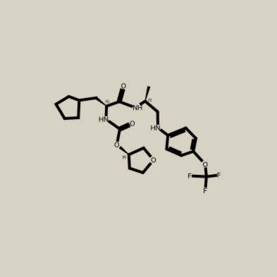 C[C@@H](CNc1ccc(OC(F)(F)F)cc1)NC(=O)[C@H](CC1CCCC1)NC(=O)O[C@@H]1CCOC1